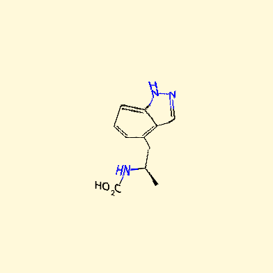 C[C@H](Cc1cccc2[nH]ncc12)NC(=O)O